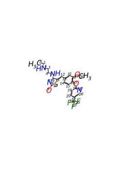 CCNCCNC1=NC(=O)S/C1=C\c1ccc(Oc2ccc(C(F)(F)F)cn2)c(OC)c1